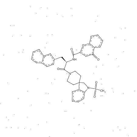 CS(=O)(=O)N1CC2(CCN(C(=O)[C@@H](Cc3ccc4ccccc4c3)NC(=O)c3cc(=O)c4ccccc4o3)CC2)c2ccccc21